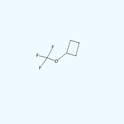 FC(F)(F)OC1CCC1